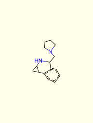 c1ccc2c(c1)C(CN1CCCC1)NC1CC21